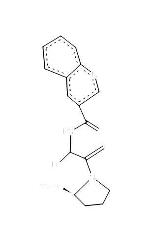 CC(C)C(NC(=O)c1cnc2ccccc2c1)C(=O)N1CCC[C@H]1C(=O)O